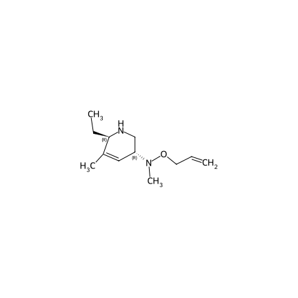 C=CCON(C)[C@@H]1C=C(C)[C@@H](CC)NC1